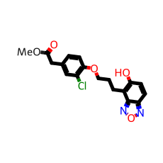 COC(=O)Cc1ccc(OCCCc2c(O)ccc3nonc23)c(Cl)c1